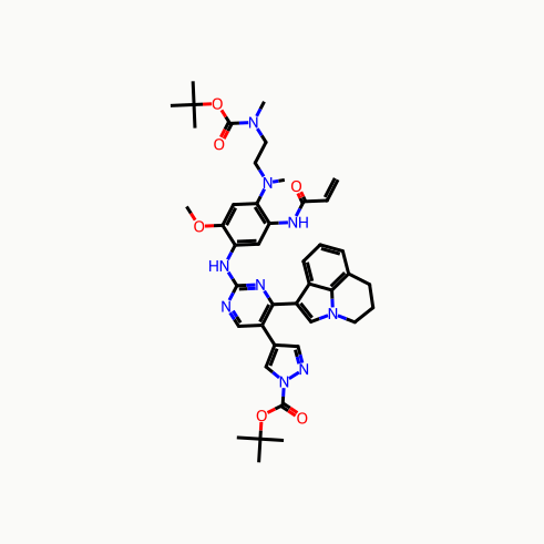 C=CC(=O)Nc1cc(Nc2ncc(-c3cnn(C(=O)OC(C)(C)C)c3)c(-c3cn4c5c(cccc35)CCC4)n2)c(OC)cc1N(C)CCN(C)C(=O)OC(C)(C)C